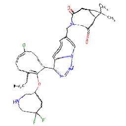 Cc1cc(Cl)cc(-c2ncnn3cc(CN4C(=O)C5C(C4=O)C5(C)C)cc23)c1OC1CNCC(F)(F)C1